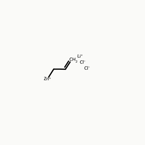 C=C[CH2][Zn+].[Cl-].[Cl-].[Li+]